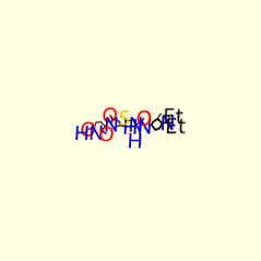 CCN(CC)c1ccc(NC(=O)NCc2cc3c(s2)C(=O)N(C2CCC(=O)NC2=O)C3)cc1C